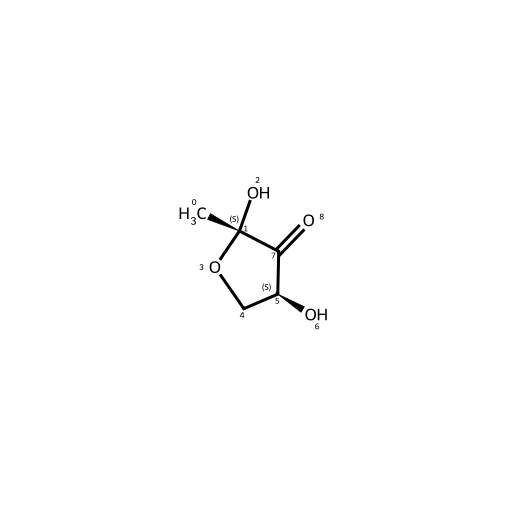 C[C@]1(O)OC[C@H](O)C1=O